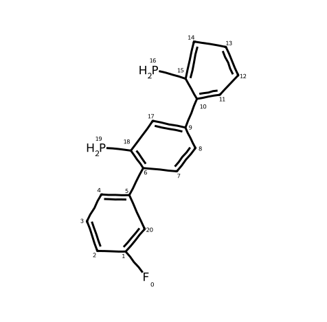 Fc1cccc(-c2ccc(-c3ccccc3P)cc2P)c1